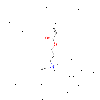 C=CC(=O)OCCC[N+](C)(C)OC(C)=O